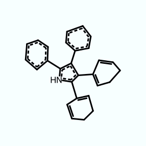 C1=CC(c2[nH]c(-c3ccccc3)c(-c3ccccc3)c2C2=CCCC=C2)=CCC1